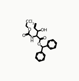 C=CC(O)C(NC(=O)OCC(Cl)(Cl)Cl)C(=O)OC(c1ccccc1)c1ccccc1